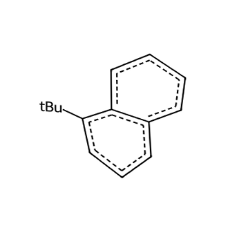 [CH2]C(C)(C)c1cccc2ccccc12